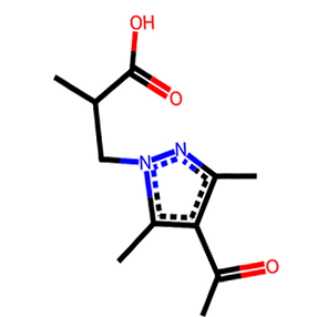 CC(=O)c1c(C)nn(CC(C)C(=O)O)c1C